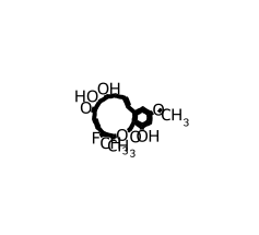 COc1cc(O)c2c(c1)/C=C/CC(O)C(O)C(=O)/C=C\C(C)(F)C(C)OC2=O